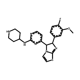 COc1cc(C2N=C3SC=CN3C2c2ccnc(NC3CCNCC3)n2)ccc1F